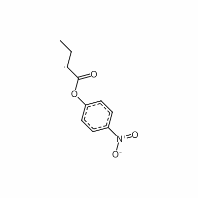 CC[CH]C(=O)Oc1ccc([N+](=O)[O-])cc1